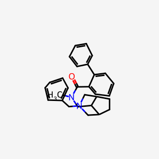 CN(CC1C2CCC1CN(Cc1ccccc1)C2)C(=O)c1ccccc1-c1ccccc1